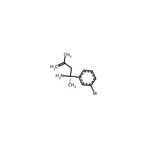 C=C(C)C[C@](C)(N)c1cccc(Br)c1